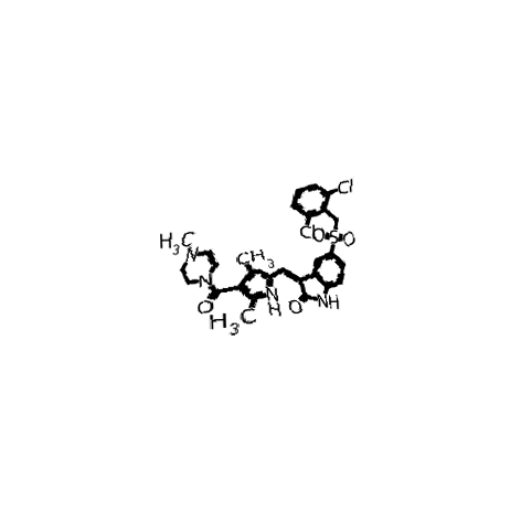 Cc1[nH]c(/C=C2\C(=O)Nc3ccc(S(=O)(=O)Cc4c(Cl)cccc4Cl)cc32)c(C)c1C(=O)N1CCN(C)CC1